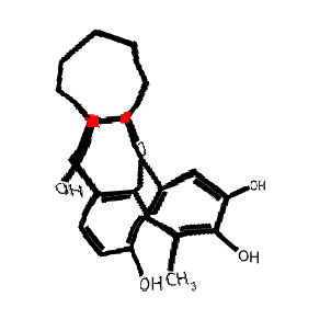 Cc1cc(C2C(O)C34CCCCCC23Oc2cc(O)ccc2C4)cc(O)c1O